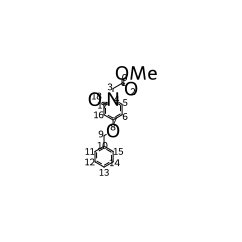 COC(=O)Cn1ccc(OCc2ccccc2)cc1=O